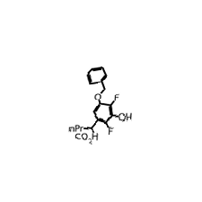 CCCC(C(=O)O)c1cc(OCc2ccccc2)c(F)c(O)c1F